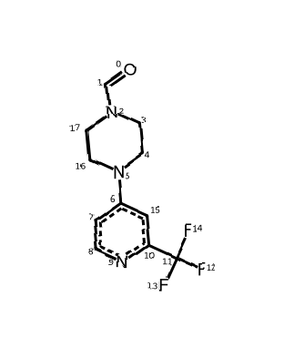 O=CN1CCN(c2ccnc(C(F)(F)F)c2)CC1